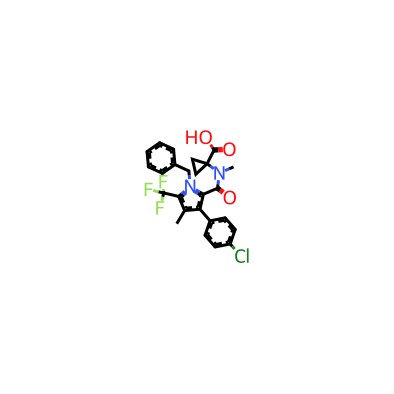 Cc1c(-c2ccc(Cl)cc2)c(C(=O)N(C)C2(C(=O)O)CC2)n(Cc2ccccc2)c1C(F)(F)F